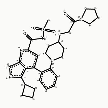 CS(=O)(=O)NC(=O)c1cc(-c2ccccc2N2CCC(OCC(=O)N3CCCC3)CC2)c2c(C3CCC3)n[nH]c2n1